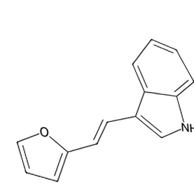 C(=Cc1c[nH]c2ccccc12)c1ccco1